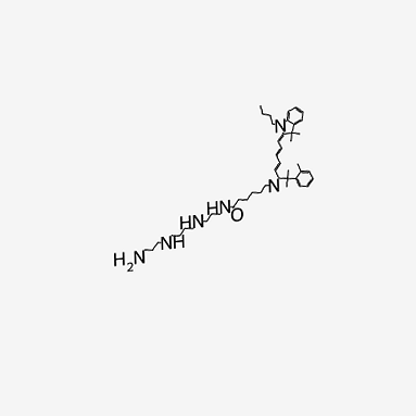 CCCCN1/C(=C/C=C/C=C/C(=N\CCCCCC(=O)NCCCNCCCCNCCCN)C(C)(C)c2ccccc2C)C(C)(C)c2ccccc21